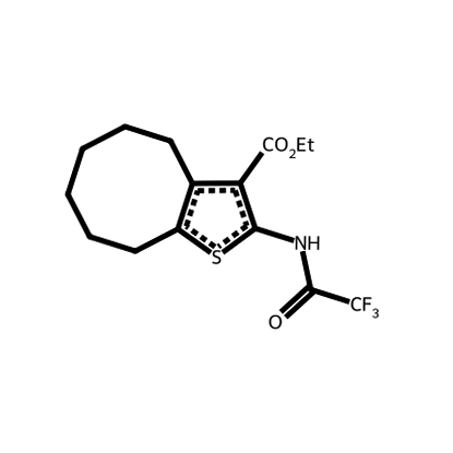 CCOC(=O)c1c(NC(=O)C(F)(F)F)sc2c1CCCCCC2